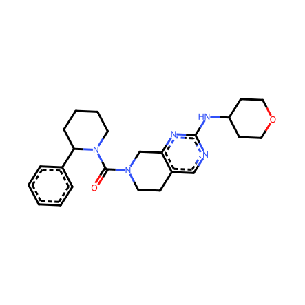 O=C(N1CCc2cnc(NC3CCOCC3)nc2C1)N1CCCCC1c1ccccc1